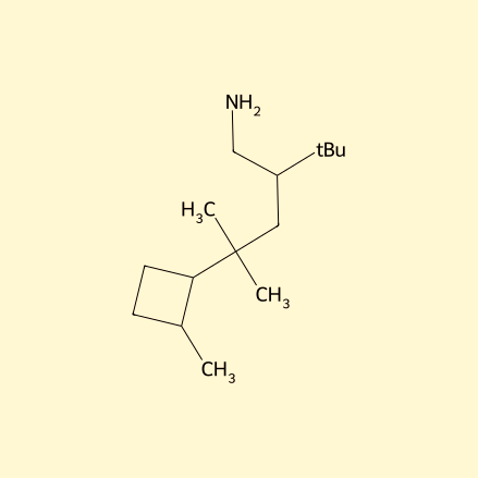 CC1CCC1C(C)(C)CC(CN)C(C)(C)C